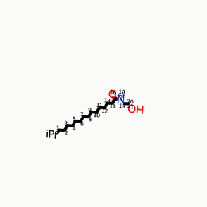 CC(C)CCCCCCCCCCCCCCC(=O)N(C)CCO